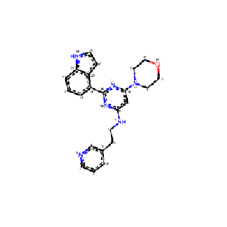 c1cncc(CCNc2cc(N3CCOCC3)nc(-c3cccc4[nH]ccc34)n2)c1